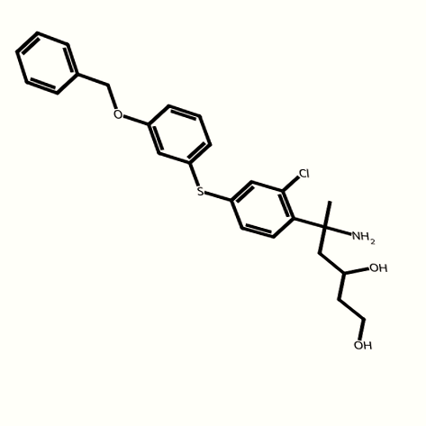 CC(N)(CC(O)CCO)c1ccc(Sc2cccc(OCc3ccccc3)c2)cc1Cl